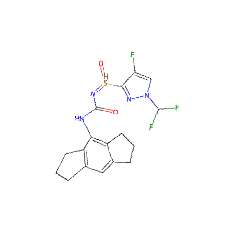 O=C(/N=[SH](=O)\c1nn(C(F)F)cc1F)Nc1c2c(cc3c1CCC3)CCC2